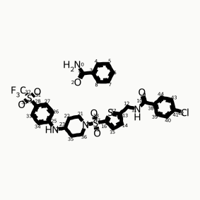 NC(=O)c1ccccc1.O=C(NCc1ccc(S(=O)(=O)N2CCC(Nc3ccc(S(=O)(=O)C(F)(F)F)cc3)CC2)s1)c1ccc(Cl)cc1